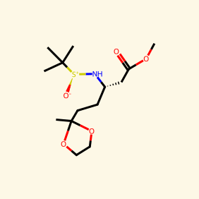 COC(=O)C[C@H](CCC1(C)OCCO1)N[S@@+]([O-])C(C)(C)C